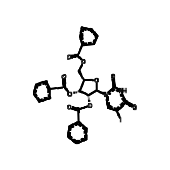 O=C(OC[C@H]1O[C@@H](n2cc(I)c(=O)[nH]c2=O)[C@H](OC(=O)c2ccccc2)[C@@H]1OC(=O)c1ccccc1)c1ccccc1